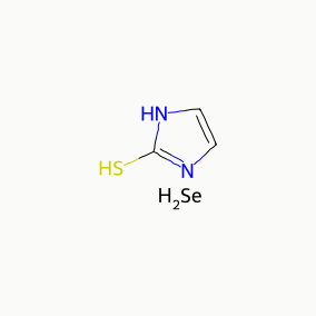 Sc1ncc[nH]1.[SeH2]